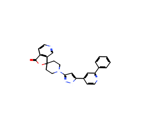 O=C1OC2(CCN(c3cc(-c4ccnc(-c5ccccc5)c4)[nH]n3)CC2)c2cnccc21